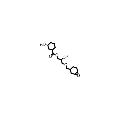 O=C(OCC(O)COCC1CCC2OC2C1)C1CCC[C@@H](O)C1